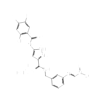 CCN(C=Nc1cccc(CNC(=O)c2cc(NC(=O)c3cc(F)c(F)cc3Cl)[nH]n2)c1)CC.Cl.Cl